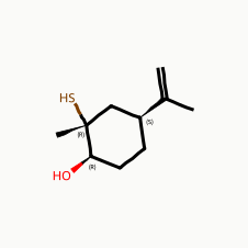 C=C(C)[C@H]1CC[C@@H](O)[C@](C)(S)C1